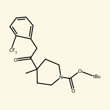 CC(C)(C)OC(=O)N1CCC(C)(C(=O)Cc2ccccc2C(F)(F)F)CC1